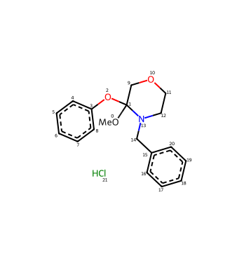 COC1(Oc2ccccc2)COCCN1Cc1ccccc1.Cl